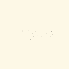 CC(C)(NC(=O)c1ccc(C=CC(c2cc(Cl)c(Cl)c(Cl)c2)C(F)(F)F)cc1Br)C(=O)NCC(F)(F)F